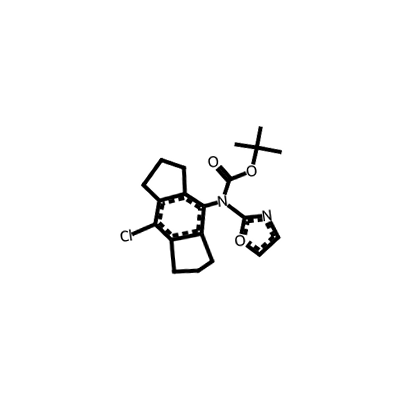 CC(C)(C)OC(=O)N(c1ncco1)c1c2c(c(Cl)c3c1CCC3)CCC2